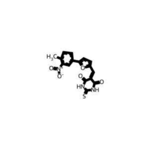 Cc1ccc(-c2ccc(C=C3C(=O)NC(=S)NC3=O)o2)cc1[N+](=O)[O-]